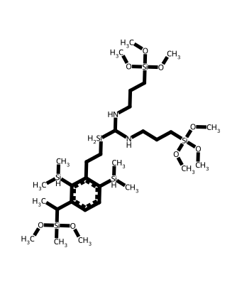 CO[Si](CCCNC(NCCC[Si](OC)(OC)OC)[SiH2]CCc1c([SiH](C)C)ccc(C(C)[Si](C)(OC)OC)c1[SiH](C)C)(OC)OC